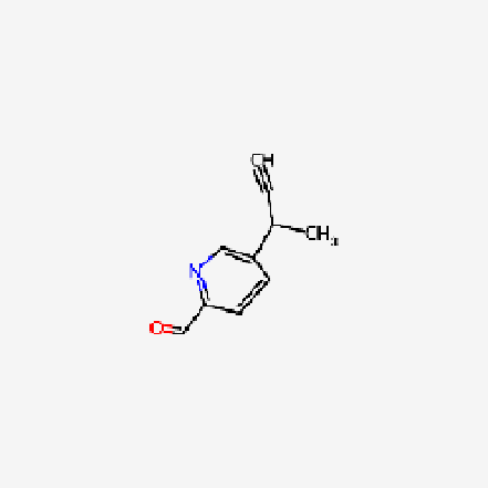 C#CC(C)c1ccc(C=O)nc1